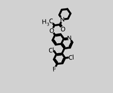 CC(Oc1ccc2c(-c3c(Cl)cc(F)cc3Cl)ccnc2c1)C(=O)N1CCCCC1